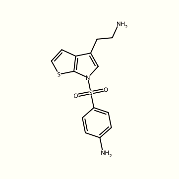 NCCc1cn(S(=O)(=O)c2ccc(N)cc2)c2sccc12